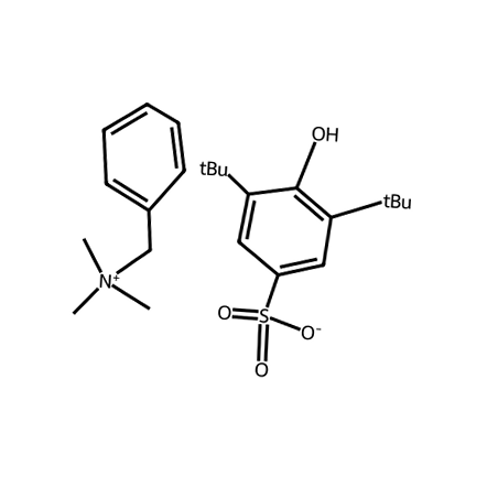 CC(C)(C)c1cc(S(=O)(=O)[O-])cc(C(C)(C)C)c1O.C[N+](C)(C)Cc1ccccc1